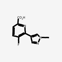 Cn1cc(-c2nc(C(=O)O)ccc2F)cn1